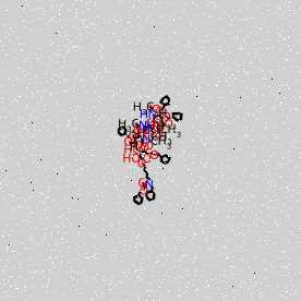 CC(=O)N[C@@H]1[C@H](O[C@H]2[C@H](NC(C)=O)[C@H](O[C@@H]3[C@@H](NC(C)=O)[C@@H](O[C@@H]4[C@H](O)[C@@H](O)[C@@H](OCCCCCN(Cc5ccccc5)C(=O)OCc5ccccc5)O[C@@H]4COCc4ccccc4)O[C@@H]4CO[C@H](c5ccccc5)O[C@H]34)O[C@@H](C)[C@H]2OC(C)=O)O[C@@H]2CO[C@@H](c3ccccc3)O[C@H]2[C@@H]1OCc1ccccc1